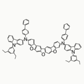 CCc1cc(CC)cc(-n2c3ccccc3c3cc(N(c4ccc(-c5ccccc5)cc4)c4ccc5c(c4)oc4cc6oc7cc8oc9cc(N(c%10ccc(-c%11ccccc%11)cc%10)c%10ccc%11c(c%10)c%10ccccc%10n%11-c%10cc(CC)cc(CC)c%10)ccc9c8cc7c6cc45)ccc32)c1